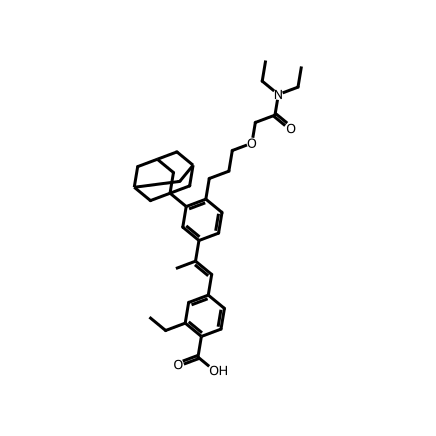 CCc1cc(C=C(C)c2ccc(CCCOCC(=O)N(CC)CC)c(C34CC5CC(CC(C5)C3)C4)c2)ccc1C(=O)O